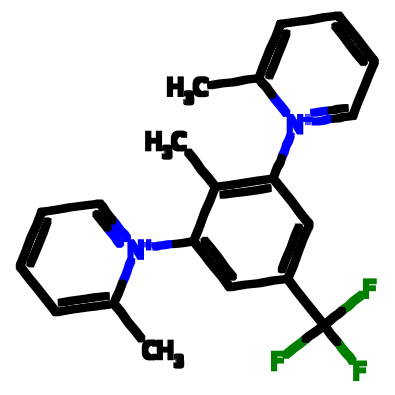 Cc1c(-[n+]2ccccc2C)cc(C(F)(F)F)cc1-[n+]1ccccc1C